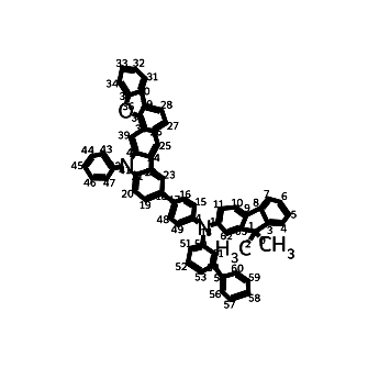 CC1(C)c2ccccc2-c2ccc(N(c3ccc(-c4ccc5c(c4)c4cc6ccc7c8ccccc8oc7c6cc4n5-c4ccccc4)cc3)c3cccc(-c4ccccc4)c3)cc21